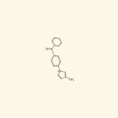 CC1=C[SH](c2ccc(C(=O)c3ccccc3)cc2)C=C1